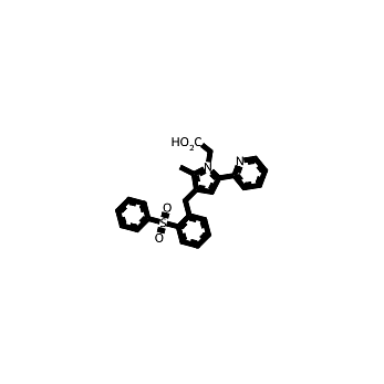 Cc1c(Cc2ccccc2S(=O)(=O)c2ccccc2)cc(-c2ccccn2)n1CC(=O)O